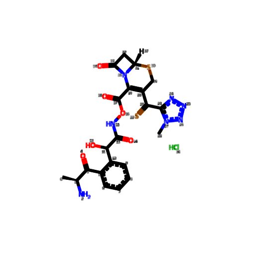 C[C@H](N)C(=O)c1ccccc1C(O)C(=O)NOC(=O)C1=C(C(=S)c2nnnn2C)CS[C@H]2CC(=O)N12.Cl